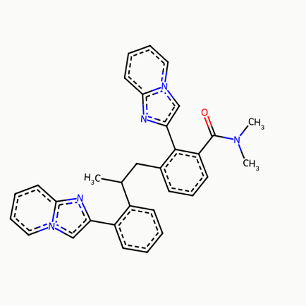 CC(Cc1cccc(C(=O)N(C)C)c1-c1cn2ccccc2n1)c1ccccc1-c1cn2ccccc2n1